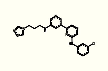 Clc1cccc(Nc2cncc(-c3cncc(NCCCn4ccnc4)c3)n2)c1